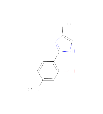 COc1ccc(-c2nc(C=O)c[nH]2)c(O)c1